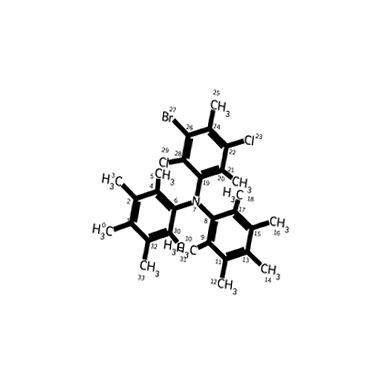 Cc1c(C)c(C)c(N(c2c(C)c(C)c(C)c(C)c2C)c2c(C)c(Cl)c(C)c(Br)c2Cl)c(C)c1C